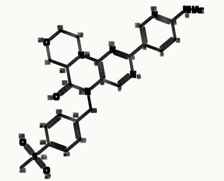 CC(=O)Nc1ccc(-c2ncc3c(n2)N2CCOCC2C(=O)N3Cc2ccc(S(C)(=O)=O)cc2)cn1